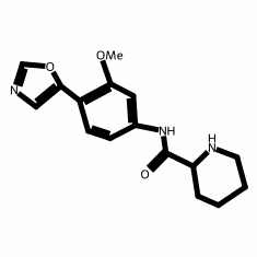 COc1cc(NC(=O)C2CCCCN2)ccc1-c1cnco1